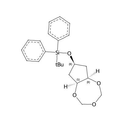 CC(C)(C)[Si](O[C@@H]1C[C@@H]2OCOCO[C@@H]2C1)(c1ccccc1)c1ccccc1